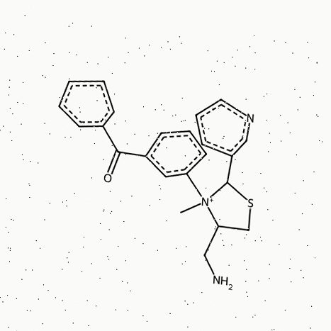 C[N+]1(c2cccc(C(=O)c3ccccc3)c2)C(CN)CSC1c1cccnc1